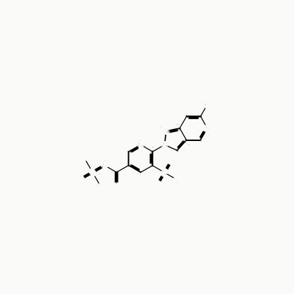 CCS(=O)(=O)c1cc(C(=O)N=S(C)(C)=O)cnc1-n1cc2cnc(C(F)(F)F)cc2n1